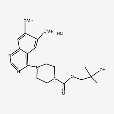 COc1cc2ncnc(N3CCN(C(=O)OCC(C)(C)O)CC3)c2cc1OC.Cl